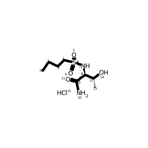 CCCCS(=O)(=O)N[C@H](C(N)=O)[C@@H](C)O.Cl